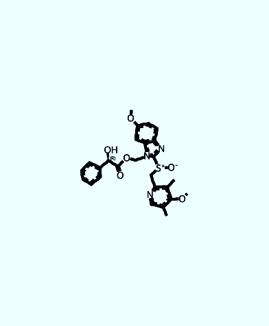 COc1ccc2nc([S+]([O-])Cc3ncc(C)c(OC)c3C)n(COC(=O)[C@H](O)c3ccccc3)c2c1